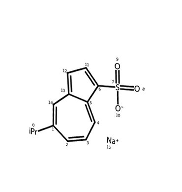 CC(C)c1cccc2c(S(=O)(=O)[O-])ccc-2c1.[Na+]